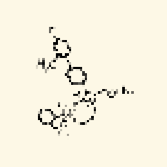 COCC1[C@@H](c2ccc(-c3ccc(F)cc3C)cc2)[C@@H]2CN(S(=O)(=O)c3ccccc3C)CCCCN12